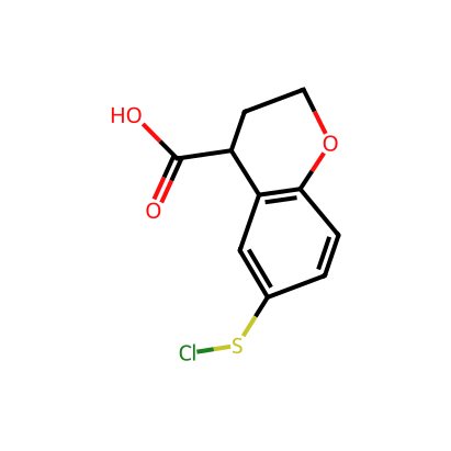 O=C(O)C1CCOc2ccc(SCl)cc21